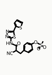 CS(=O)(=O)Oc1ccc(CC(C#N)C(=O)Nc2nnc(-c3cccs3)s2)cc1